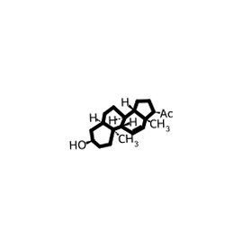 CC(=O)[C@H]1CC[C@H]2[C@@H]3CC[C@@H]4C[C@H](O)CC[C@]4(C)[C@H]3C=C[C@]12C